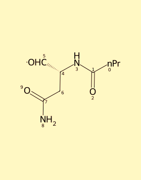 CCCC(=O)N[C@@H]([C]=O)CC(N)=O